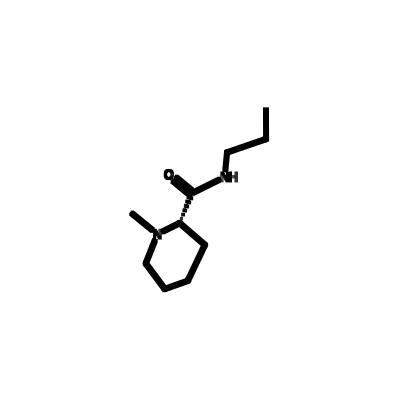 CCCNC(=O)[C@@H]1CCCCN1C